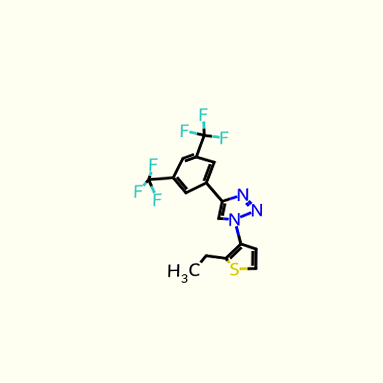 CCc1sccc1-n1cc(-c2cc(C(F)(F)F)cc(C(F)(F)F)c2)nn1